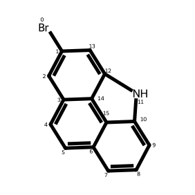 Brc1cc2ccc3cccc4[nH]c(c1)c2c34